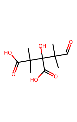 CC(C)(C=O)C(O)(C(=O)O)C(C)(C)C(=O)O